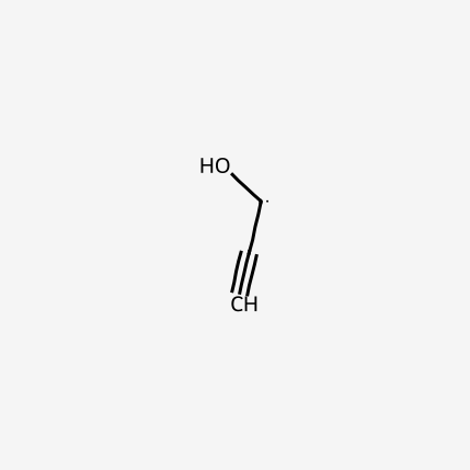 C#C[CH]O